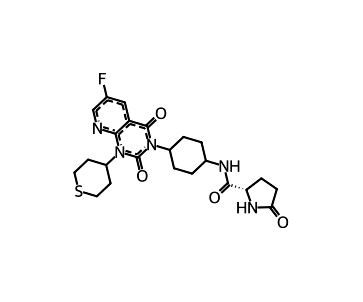 O=C1CC[C@@H](C(=O)NC2CCC(n3c(=O)c4cc(F)cnc4n(C4CCSCC4)c3=O)CC2)N1